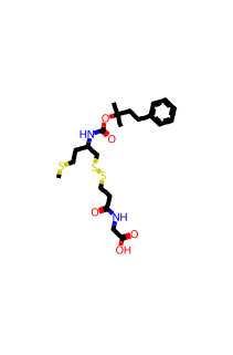 CSCCC(CSSCCC(=O)NCC(=O)O)NC(=O)OC(C)(C)CCc1ccccc1